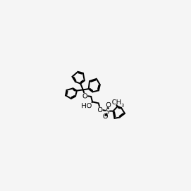 Cc1ccccc1S(=O)(=O)OCC(O)COC(c1ccccc1)(c1ccccc1)c1ccccc1